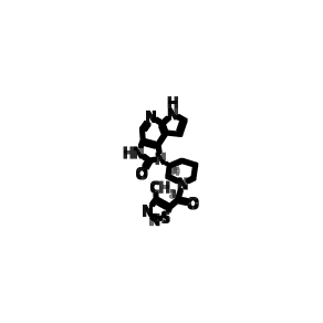 Cc1nnsc1C(=O)N1CCC[C@@H](n2c(=O)[nH]c3cnc4[nH]ccc4c32)C1